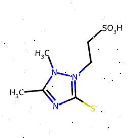 Cc1nc([S-])[n+](CCS(=O)(=O)O)n1C